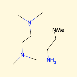 CN(C)CCN(C)C.CNCCN